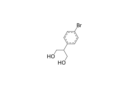 OCC(CO)c1ccc(Br)cc1